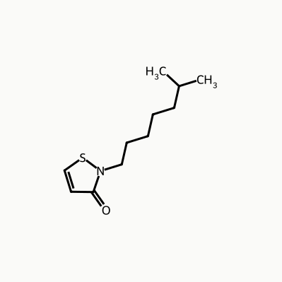 CC(C)CCCCCn1sccc1=O